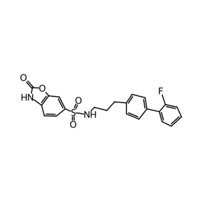 O=c1[nH]c2ccc(S(=O)(=O)NCCCc3ccc(-c4ccccc4F)cc3)cc2o1